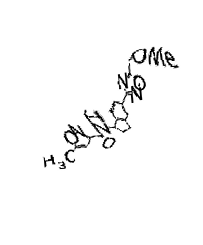 COCc1nc(-c2ccc3c(c2)CCC3NC(=O)c2cc(C)on2)no1